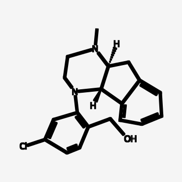 CN1CCN(c2cc(Cl)ccc2CO)[C@H]2c3ccccc3C[C@@H]21